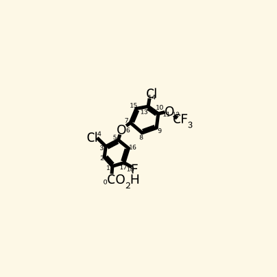 O=C(O)c1cc(Cl)c(Oc2ccc(OC(F)(F)F)c(Cl)c2)cc1F